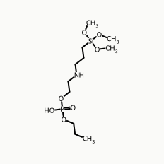 CCCOP(=O)(O)OCCNCCC[Si](OC)(OC)OC